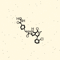 Cn1cc(-c2ccccc2Cl)c2cc(C(=O)NCc3ccc(C(=O)NO)cc3)[nH]c2c1=O